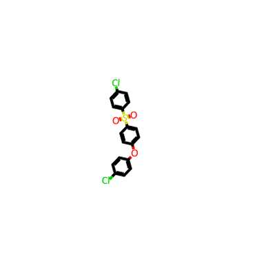 O=S(=O)(c1ccc(Cl)cc1)c1ccc(Oc2ccc(Cl)cc2)cc1